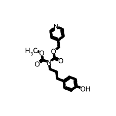 COC(=O)N(CCCc1ccc(O)cc1)C(=O)OCc1ccncc1